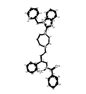 CN(CC(CCN1CCCN(c2nc3ccccc3n2Cc2ccccn2)CC1)c1ccccc1)C(=O)c1ccccc1